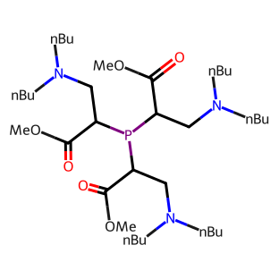 CCCCN(CCCC)CC(C(=O)OC)P(C(CN(CCCC)CCCC)C(=O)OC)C(CN(CCCC)CCCC)C(=O)OC